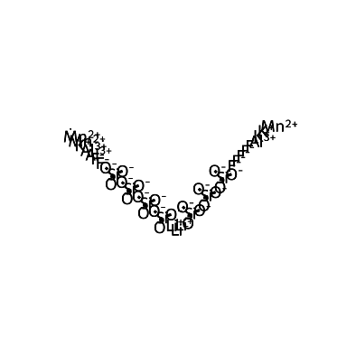 O=[Si]([O-])[O-].O=[Si]([O-])[O-].O=[Si]([O-])[O-].O=[Si]([O-])[O-].O=[Si]([O-])[O-].O=[Si]([O-])[O-].O=[Si]([O-])[O-].[Al+3].[Al+3].[Al+3].[F-].[F-].[F-].[F-].[F-].[F-].[F-].[K+].[K+].[K+].[Li+].[Li+].[Li+].[Mn+2].[Mn+2].[Mn+2]